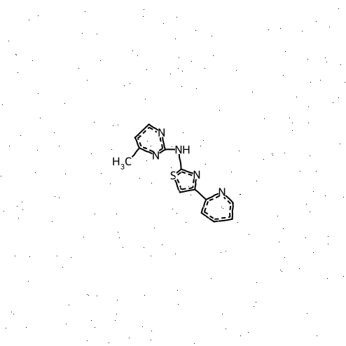 Cc1ccnc(Nc2nc(-c3ccccn3)cs2)n1